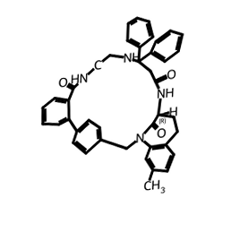 Cc1ccc2c(c1)N1Cc3ccc(cc3)-c3ccccc3C(=O)NCCNC(c3ccccc3)(c3ccccc3)CC(=O)N[C@H](CC2)C1=O